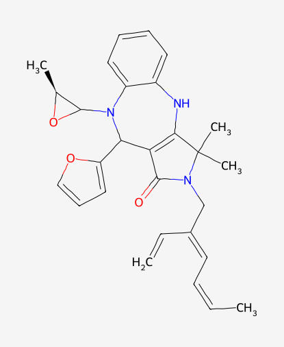 C=C/C(=C\C=C/C)CN1C(=O)C2=C(Nc3ccccc3N(C3O[C@H]3C)C2c2ccco2)C1(C)C